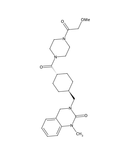 COCC(=O)N1CCN(C(=O)[C@H]2CC[C@H](CN3Cc4ccccc4N(C)C3=O)CC2)CC1